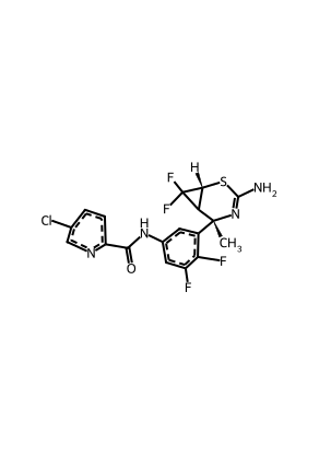 C[C@]1(c2cc(NC(=O)c3ccc(Cl)cn3)cc(F)c2F)N=C(N)S[C@@H]2C1C2(F)F